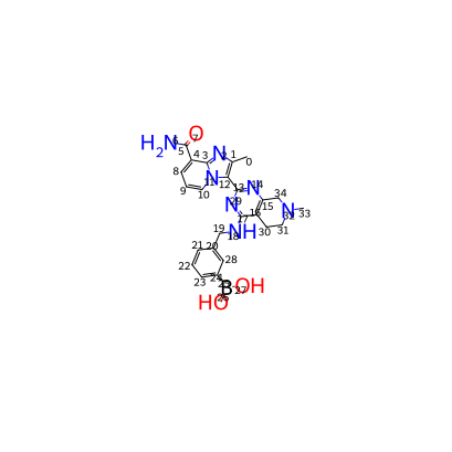 Cc1nc2c(C(N)=O)cccn2c1-c1nc2c(c(NCc3cccc(B(O)O)c3)n1)CCN(C)C2